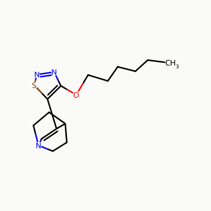 CCCCCCOc1nnsc1C1=CN2CCC1CC2